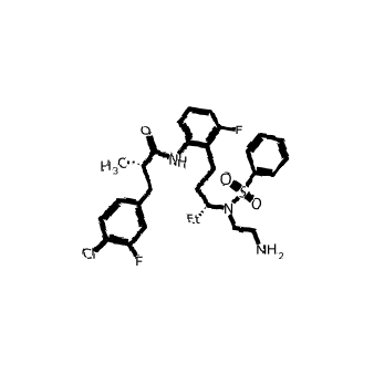 CC[C@H](CCc1c(F)cccc1NC(=O)[C@@H](C)Cc1ccc(Cl)c(F)c1)N(CCN)S(=O)(=O)c1ccccc1